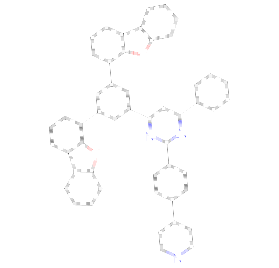 c1ccc(-c2cc(-c3cc(-c4cccc5c4oc4ccccc45)cc(-c4cccc5c4oc4ccccc45)c3)nc(-c3ccc(-c4ccncc4)cc3)n2)cc1